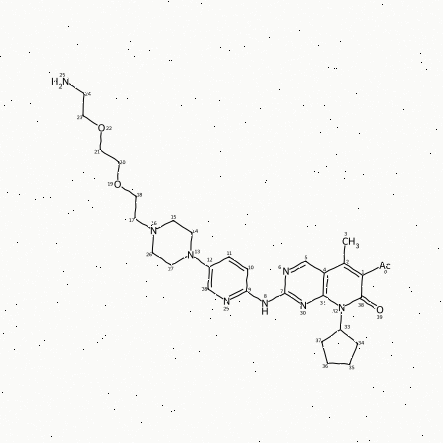 CC(=O)c1c(C)c2cnc(Nc3ccc(N4CCN(CCOCCOCCN)CC4)cn3)nc2n(C2CCCC2)c1=O